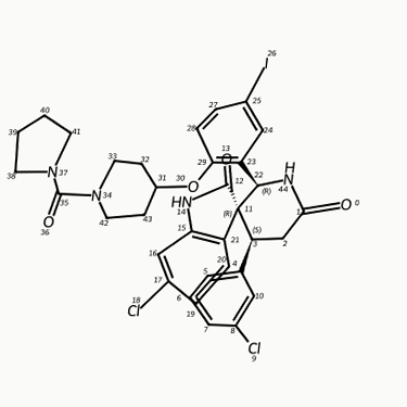 O=C1C[C@@H](c2cccc(Cl)c2)[C@]2(C(=O)Nc3cc(Cl)ccc32)[C@@H](c2cc(I)ccc2OC2CCN(C(=O)N3CCCC3)CC2)N1